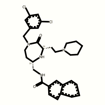 O=C(NC[C@@H]1CCN(Cc2cc(Cl)cc(Cl)c2)C(=O)[C@H](CCN2CCCCC2)N1)c1ccc2ccccc2c1